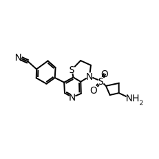 N#Cc1ccc(-c2cncc3c2SCCN3S(=O)(=O)C2CC(N)C2)cc1